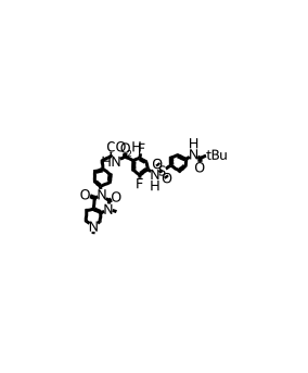 CN1CCc2c(n(C)c(=O)n(-c3ccc(C[C@H](NC(=O)c4cc(F)c(NS(=O)(=O)c5ccc(NC(=O)C(C)(C)C)cc5)cc4F)C(=O)O)cc3)c2=O)C1